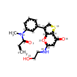 C=CC(=O)N(C)c1cccc(-c2csc3c(=O)cc(NCCO)oc23)c1